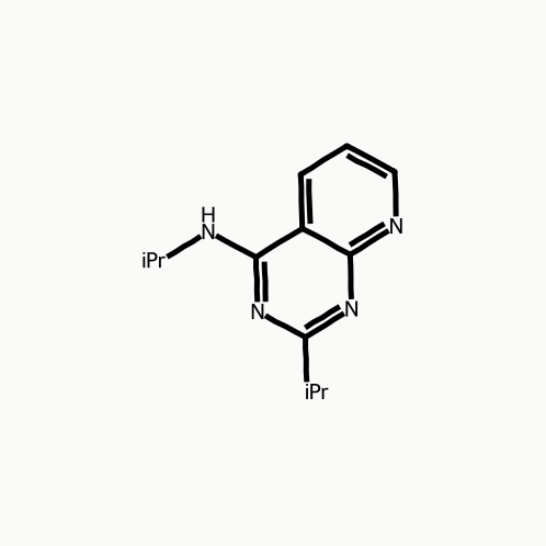 CC(C)Nc1nc(C(C)C)nc2ncccc12